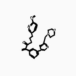 C=C(C(=O)CCCc1ccc(OC)nc1)c1cccc(-c2cncc(CN3CCOCC3)c2)c1